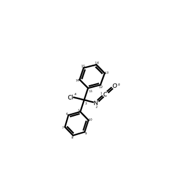 O=C=NC(Cl)(c1ccccc1)c1ccccc1